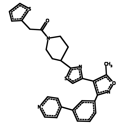 Cc1onc(-c2cccc(-c3ccncc3)c2)c1-c1csc(C2CCN(C(=O)Cc3cccs3)CC2)n1